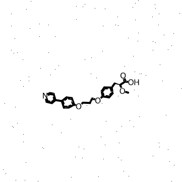 CO[C@@H](Cc1ccc(OCCCOc2ccc(-c3ccncc3)cc2)cc1)C(=O)O